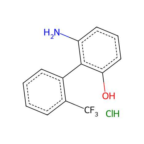 Cl.Nc1cccc(O)c1-c1ccccc1C(F)(F)F